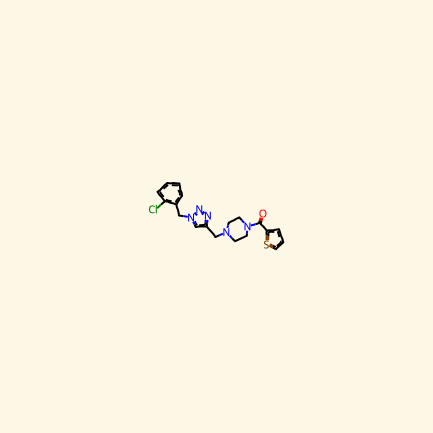 O=C(c1cccs1)N1CCN(Cc2cn(Cc3ccccc3Cl)nn2)CC1